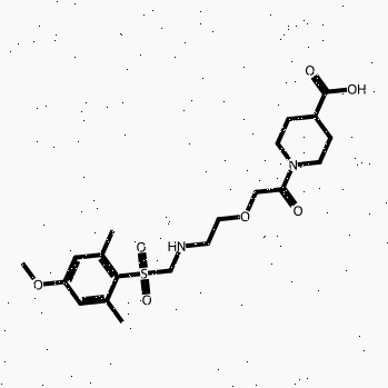 COc1cc(C)c(S(=O)(=O)CNCCOCC(=O)N2CCC(C(=O)O)CC2)c(C)c1